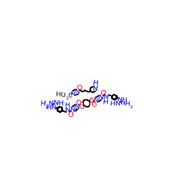 N=C(N)Nc1ccc(CNC(=O)N2CCN(C(=O)O[C@H]3CCC[C@@H](OC(=O)N4CCN(C(=O)NCc5ccc(NC(=N)N)cc5)CC4)CCC3)CC2)cc1.O=C(O)N1CCN(C(=O)CCCC2CCNCC2)CC1